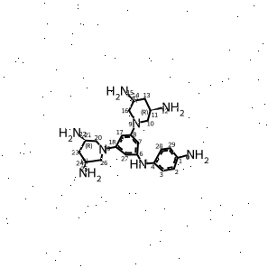 Nc1ccc(Nc2cc(N3C[C@H](N)C[C@H](N)C3)cc(N3C[C@H](N)C[C@H](N)C3)c2)cc1